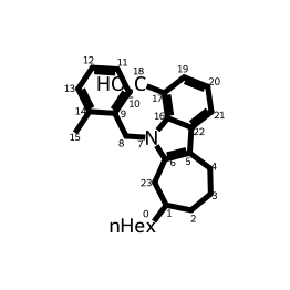 CCCCCCC1CCCc2c(n(Cc3ccccc3C)c3c(C(=O)O)cccc23)C1